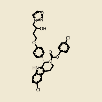 O=C(Oc1ccc(Cl)cc1)N1CCc2c([nH]c3ccc(Cl)cc23)[C@@H]1c1ccc(OCCC(O)Cn2ccnn2)cc1